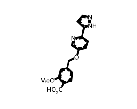 COc1cc(COc2ccc(-c3ccn[nH]3)nc2)ccc1C(=O)O